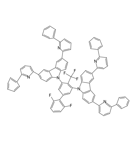 Fc1cccc(F)c1-c1cc(-n2c3ccc(-c4cccc(-c5ccccc5)n4)cc3c3cc(-c4cccc(-c5ccccc5)n4)ccc32)c(C(F)(F)F)c(-n2c3ccc(-c4cccc(-c5ccccc5)n4)cc3c3cc(-c4cccc(-c5ccccc5)n4)ccc32)c1